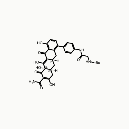 CC(C)(C)NCC(=O)Nc1ccc(-c2ccc(O)c3c2C[C@H]2C[C@H]4CC(O)=C(C(N)=O)C(=O)[C@@]4(O)C(O)=C2C3=O)cc1